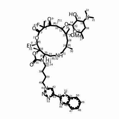 CC[C@H]1OC(=O)C(C)(F)C(=O)[C@H](C)[C@@H](O[C@@H]2OC(C)CC(N(C)C)C2O)[C@](C)(OC)C[C@@H](C)CN[C@H](C)[C@H]2N(CCCCn3cc(-c4nc5ccccc5s4)nn3)C(=O)O[C@]12C